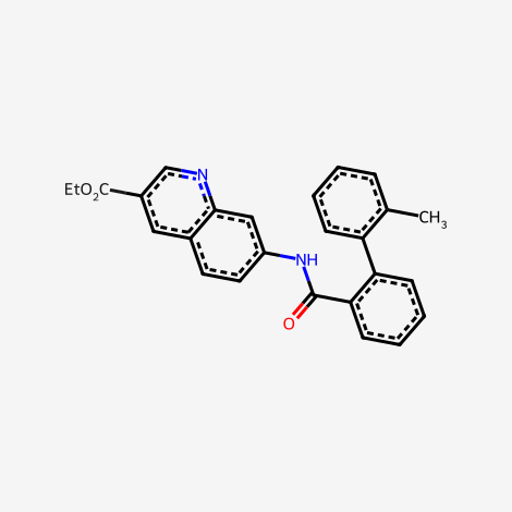 CCOC(=O)c1cnc2cc(NC(=O)c3ccccc3-c3ccccc3C)ccc2c1